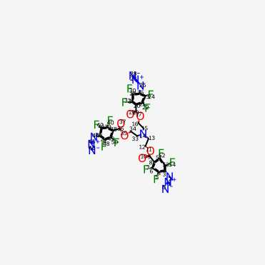 [N-]=[N+]=Nc1c(F)c(F)c(C(=O)OCCN(CCOC(=O)c2c(F)c(F)c(N=[N+]=[N-])c(F)c2F)CCOC(=O)c2c(F)c(F)c(N=[N+]=[N-])c(F)c2F)c(F)c1F